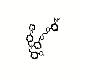 COc1cccc(CN(Cc2ccc(N3CCCC3)cc2)c2cccc(COCCOc3cccc(N(C)C)c3)c2)c1